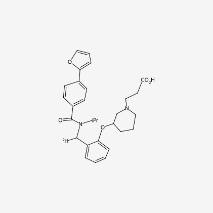 [2H]C(c1ccccc1OC1CCCN(CCC(=O)O)C1)N(C(=O)c1ccc(-c2ccco2)cc1)C(C)C